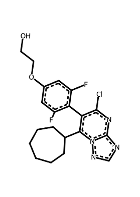 OCCOc1cc(F)c(-c2c(Cl)nc3ncnn3c2C2CCCCCC2)c(F)c1